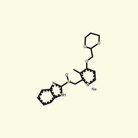 Cc1c(OCC2OCCCO2)ccnc1C[S+]([O-])c1nc2ccccc2[nH]1.[Na]